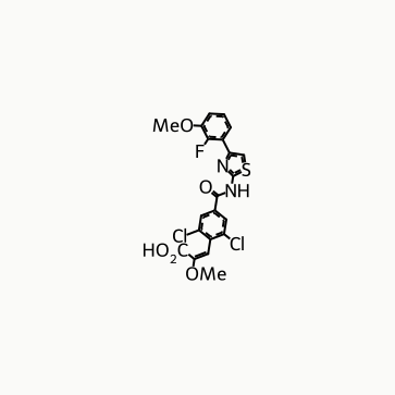 COC(=Cc1c(Cl)cc(C(=O)Nc2nc(-c3cccc(OC)c3F)cs2)cc1Cl)C(=O)O